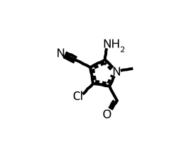 Cn1c(N)c(C#N)c(Cl)c1C=O